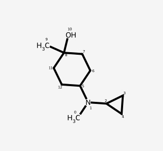 CN(C1CC1)C1CCC(C)(O)CC1